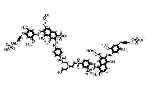 COc1cc(SC#COOS(=O)(=O)O)c(C)cc1N=Nc1c(SOOO)cc2c(N=Nc3ccc(S(=O)(=O)CCN(CCO)CCS(=O)(=O)c4ccc(N=Nc5c(S(=O)(=O)O)cc6cc(SOOO)c(N=Nc7cc(C)c(SC#COOS(=O)(=O)O)cc7OC)c(O)c6c5N)cc4)cc3S(=O)(=O)O)c(N)ccc2c1O